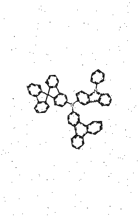 c1ccc(-n2c3ccccc3c3cc(N(c4ccc5c(c4)-c4ccccc4C54c5ccccc5-c5ccccc54)c4ccc5c6ccccc6c6ccccc6c5c4)ccc32)cc1